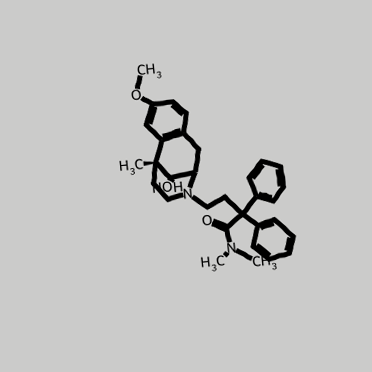 COc1ccc2c(c1)[C@@]1(C)CCN(CCC(C(=O)N(C)C)(c3ccccc3)c3ccccc3)C(C2)[C@H]1O